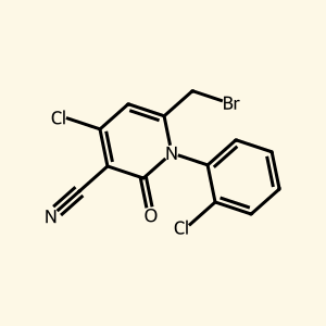 N#Cc1c(Cl)cc(CBr)n(-c2ccccc2Cl)c1=O